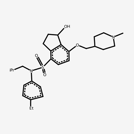 CCc1ccc(N(CC(C)C)S(=O)(=O)c2ccc(OCC3CCN(C)CC3)c3c2CCC3O)cc1